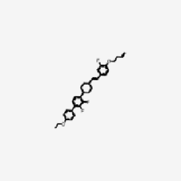 C=CCCOc1ccc(/C=C/C2CCC(c3ccc(-c4ccc(OCC)cc4)c(F)c3F)CC2)cc1F